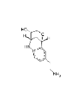 NCCc1ccc2c(c1)[C@@H]1C[C@H](N2)[C@H](O)CO1